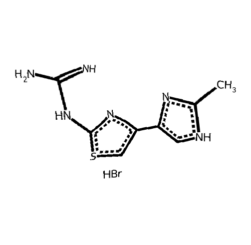 Br.Cc1nc(-c2csc(NC(=N)N)n2)c[nH]1